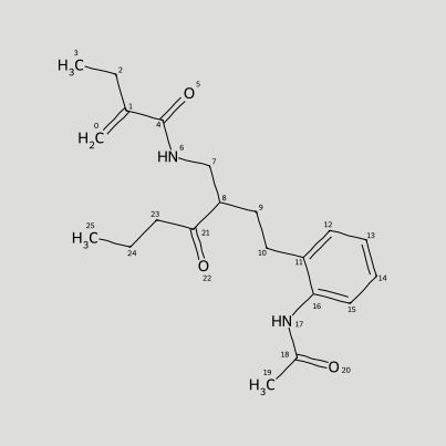 C=C(CC)C(=O)NCC(CCc1ccccc1NC(C)=O)C(=O)CCC